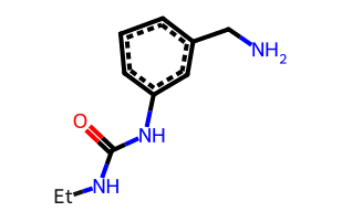 CCNC(=O)Nc1cccc(CN)c1